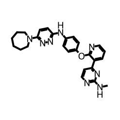 CNc1nccc(-c2cccnc2Oc2ccc(Nc3ccc(N4CCCCCC4)nn3)cc2)n1